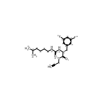 C#CCOC(=O)[C@H](Cc1cc(F)cc(F)c1)NC(=O)NCCCCC(C)C